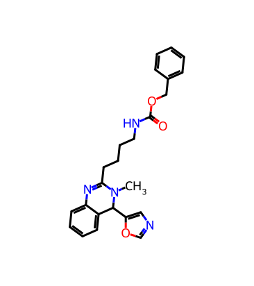 CN1C(CCCCNC(=O)OCc2ccccc2)=Nc2ccccc2C1c1cnco1